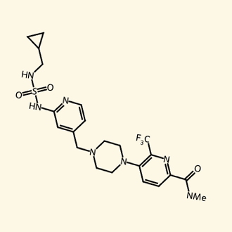 CNC(=O)c1ccc(N2CCN(Cc3ccnc(NS(=O)(=O)NCC4CC4)c3)CC2)c(C(F)(F)F)n1